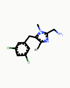 CC(C)c1nc(CN)n(C)c1Cc1cc(Cl)cc(Cl)c1